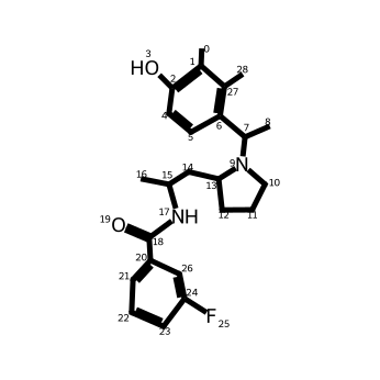 Cc1c(O)ccc(C(C)N2CCCC2CC(C)NC(=O)c2cccc(F)c2)c1C